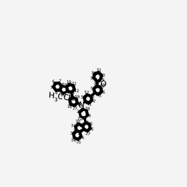 CC1(C)c2ccccc2-c2cccc(-c3cccc(N(C4=CCC(c5cccc6c5ccc5ccccc56)C=C4)c4ccc(-c5ccc6oc7ccccc7c6c5)cc4)c3)c21